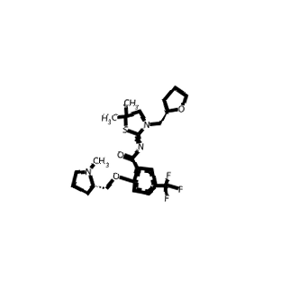 CN1CCC[C@H]1COc1ccc(C(F)(F)F)cc1C(=O)/N=C1\SC(C)(C)CN1C[C@H]1CCCO1